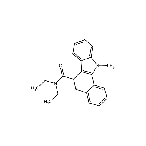 CCN(CC)C(=O)C1Sc2ccccc2-c2c1c1ccccc1n2C